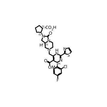 COC(=O)C1=C(CN2CCN3C(=O)N([C@H]4CCC[C@@H]4C(=O)O)C[C@@H]3C2)NC(c2nccs2)=N[C@H]1c1ccc(F)cc1Cl